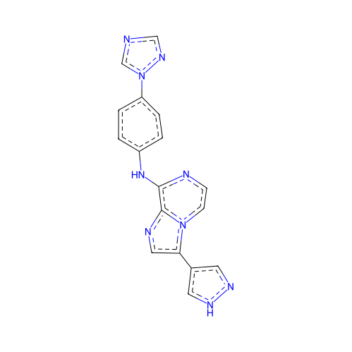 c1cn2c(-c3cn[nH]c3)cnc2c(Nc2ccc(-n3cncn3)cc2)n1